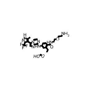 CCc1cc(Nc2nccn3c(-c4c(C(F)(F)F)n[nH]c4C)cnc23)ccc1C(=O)NCCOCCN.O=CO